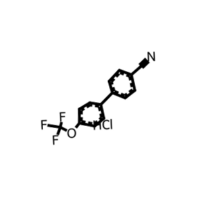 Cl.N#Cc1ccc(-c2ccc(OC(F)(F)F)cc2)cc1